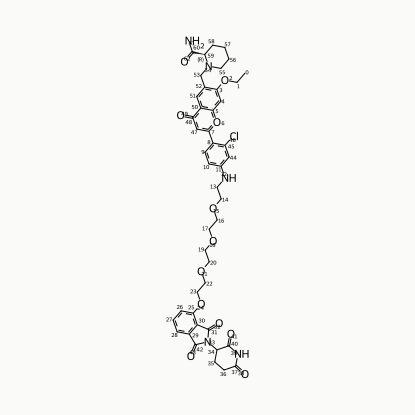 CCOc1cc2oc(-c3ccc(NCCOCCOCCOCCOc4cccc5c4C(=O)N(C4CCC(=O)NC4=O)C5=O)cc3Cl)cc(=O)c2cc1CN1CCCC[C@@H]1C(N)=O